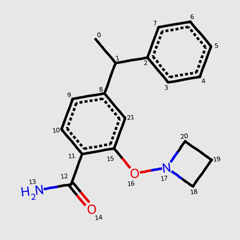 CC(c1ccccc1)c1ccc(C(N)=O)c(ON2CCC2)c1